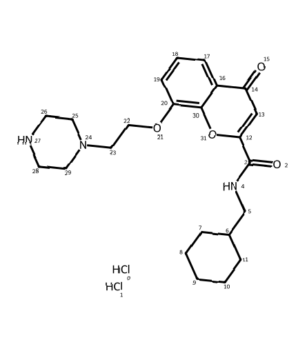 Cl.Cl.O=C(NCC1CCCCC1)c1cc(=O)c2cccc(OCCN3CCNCC3)c2o1